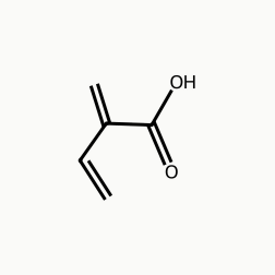 C=CC(=C)C(=O)O